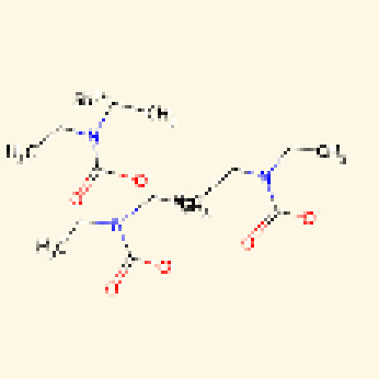 CCN(CC)C(=O)[O-].CCN(CC)C(=O)[O-].CCN(CC)C(=O)[O-].[Sb+3]